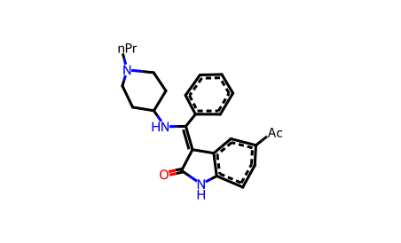 CCCN1CCC(N/C(=C2\C(=O)Nc3ccc(C(C)=O)cc32)c2ccccc2)CC1